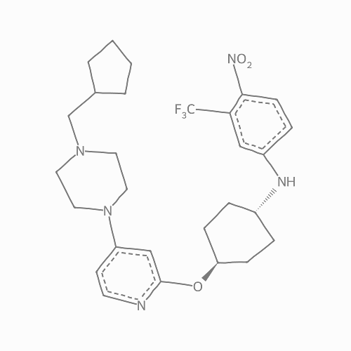 O=[N+]([O-])c1ccc(N[C@H]2CC[C@H](Oc3cc(N4CCN(CC5CCCC5)CC4)ccn3)CC2)cc1C(F)(F)F